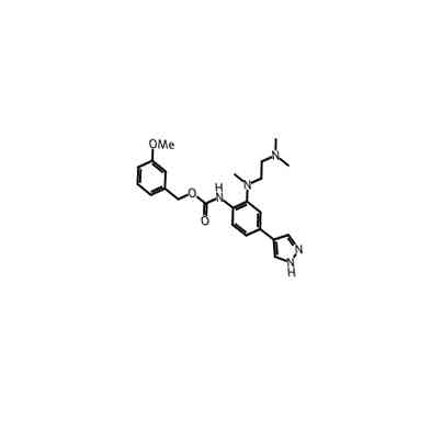 COc1cccc(COC(=O)Nc2ccc(-c3cn[nH]c3)cc2N(C)CCN(C)C)c1